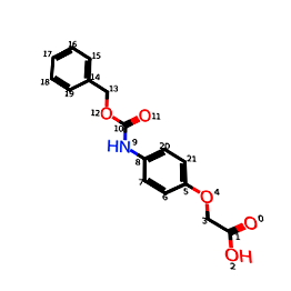 O=C(O)COc1ccc(NC(=O)OCc2ccccc2)cc1